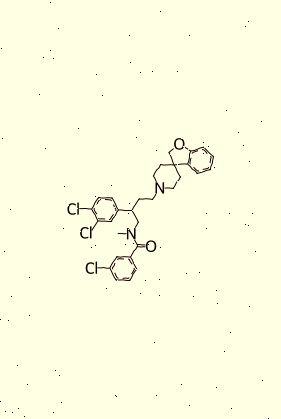 CN(CC(CCN1CCC2(CC1)COc1ccccc12)c1ccc(Cl)c(Cl)c1)C(=O)c1cccc(Cl)c1